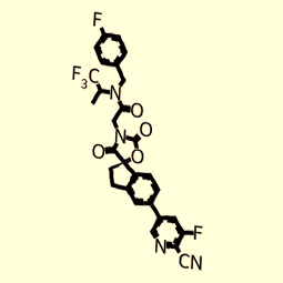 CC(N(Cc1ccc(F)cc1)C(=O)CN1C(=O)O[C@@]2(CCc3cc(-c4cnc(C#N)c(F)c4)ccc32)C1=O)C(F)(F)F